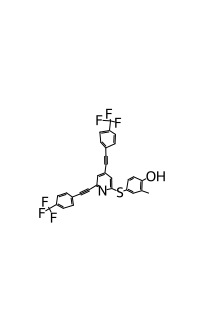 Cc1cc(Sc2cc(C#Cc3ccc(C(F)(F)F)cc3)cc(C#Cc3ccc(C(F)(F)F)cc3)n2)ccc1O